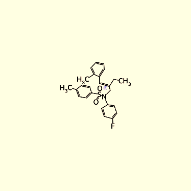 CC/C(=C\c1ccccc1C)CN(c1ccc(F)cc1)S(=O)(=O)c1ccc(C)cc1